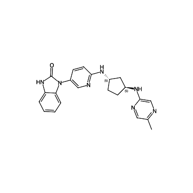 Cc1cnc(N[C@H]2CC[C@H](Nc3ccc(-n4c(=O)[nH]c5ccccc54)cn3)C2)cn1